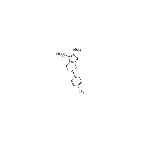 CNc1sc2c(c1C(=O)O)CCN(c1ccc(C(F)(F)F)cc1)C2